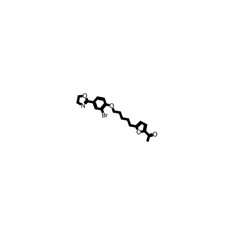 CC(=O)c1ccc(CCCCCOc2ccc(C3=NCCO3)cc2Br)o1